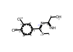 CS/C(=N\C(=N)CO)c1ccc(Cl)c(Cl)c1